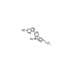 CC(C)Nc1cc(-n2ncc3cc(C#N)cnc32)ncc1-c1cn(CCC(F)(F)F)nn1